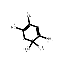 CC1(N)CC(C#N)=C(C#N)C=C1N